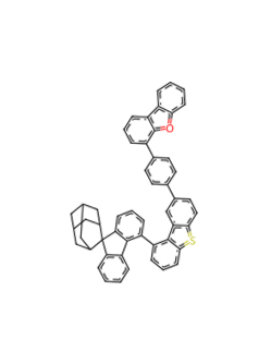 c1ccc2c(c1)-c1c(-c3cccc4sc5ccc(-c6ccc(-c7cccc8c7oc7ccccc78)cc6)cc5c34)cccc1C21C2CC3CC(C2)CC1C3